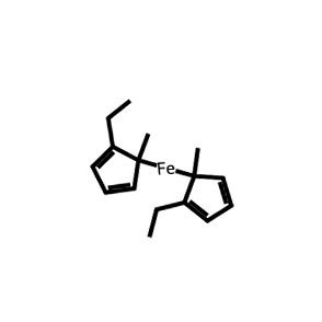 CCC1=CC=C[C]1(C)[Fe][C]1(C)C=CC=C1CC